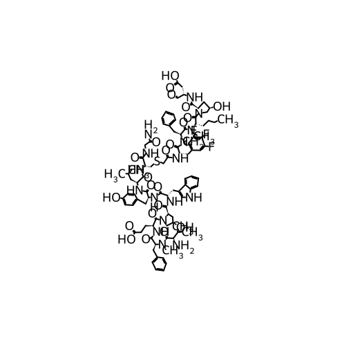 CCCC[C@@H](C(=O)N1C[C@H](O)C[C@@H]1C(=O)N[C@H](C=O)CC(=O)O)N(C)C(=O)[C@H](Cc1ccccc1)N(C)C(=O)[C@H](Cc1cc(F)c(F)c(F)c1)NC(=O)CSC[C@H](NC(=O)[C@H](CC(C)C)NC(=O)[C@H](Cc1ccc(O)cc1)NC(=O)[C@H](Cc1c[nH]c2ccccc12)NC(=O)[C@H]1C[C@@H](O)CN1C(=O)[C@H](CCC(=O)O)NC(=O)[C@H](Cc1ccccc1)N(C)C(=O)[C@@H](N)C(C)C)C(=O)NCC(N)=O